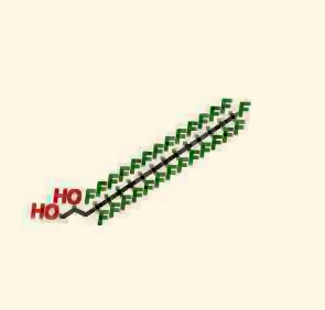 OCC(O)CC(F)(F)C(F)(F)C(F)(F)C(F)(F)C(F)(F)C(F)(F)C(F)(F)C(F)(F)C(F)(F)C(F)(F)C(F)(F)C(F)(F)C(F)(F)F